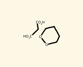 C1CCOOC1.O=C(O)CC(=O)O